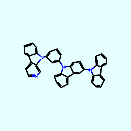 c1cc(-n2c3ccccc3c3cc(-n4c5ccccc5c5ccccc54)ccc32)cc(-n2c3ccccc3c3ccncc32)c1